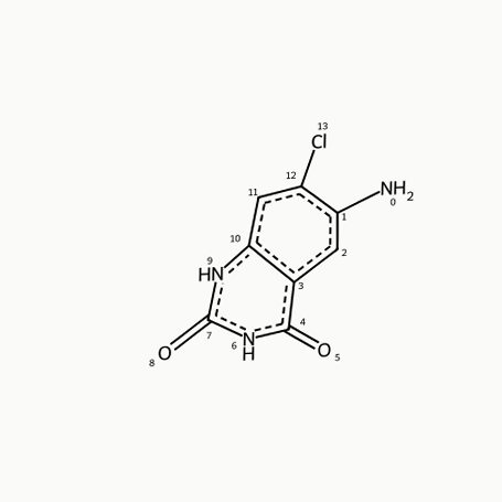 Nc1cc2c(=O)[nH]c(=O)[nH]c2cc1Cl